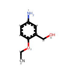 N#CCOc1ccc(N)cc1CO